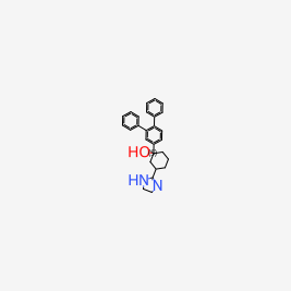 O[C@@]1(c2ccc(-c3ccccc3)c(-c3ccccc3)c2)CCCC(C2=NCCN2)C1